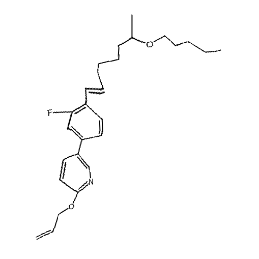 C=CCOc1ccc(-c2ccc(/C=C/CCCC(C)OCCCCC)c(F)c2)cn1